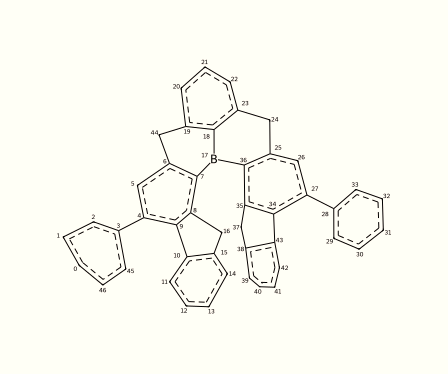 c1ccc(-c2cc3c(c4c2-c2ccccc2C4)B2c4c(cccc4Cc4cc(-c5ccccc5)c5c(c42)Cc2ccccc2-5)C3)cc1